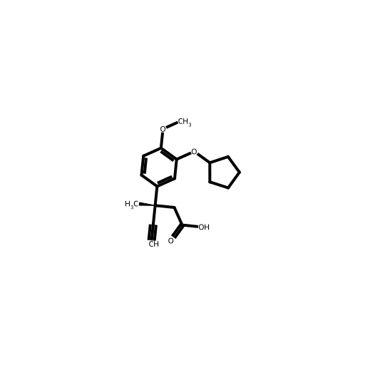 C#C[C@@](C)(CC(=O)O)c1ccc(OC)c(OC2CCCC2)c1